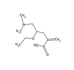 C=C(CC(CN(C)C)OCC)C(=O)O